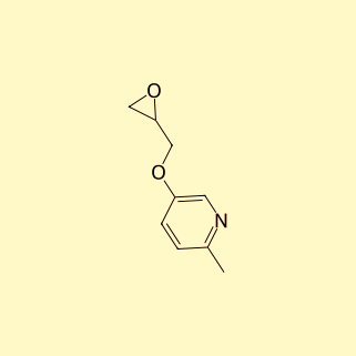 Cc1ccc(OCC2CO2)cn1